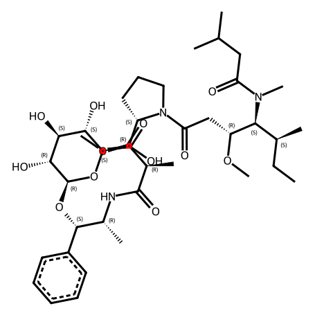 CC[C@H](C)[C@@H]([C@@H](CC(=O)N1CCC[C@H]1[C@H](OC)[C@@H](C)C(=O)N[C@H](C)[C@@H](O[C@@H]1O[C@H](C(=O)O)[C@@H](O)[C@H](O)[C@H]1O)c1ccccc1)OC)N(C)C(=O)CC(C)C